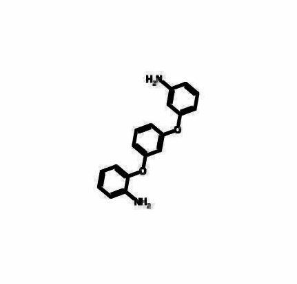 Nc1cccc(Oc2cccc(Oc3ccccc3N)c2)c1